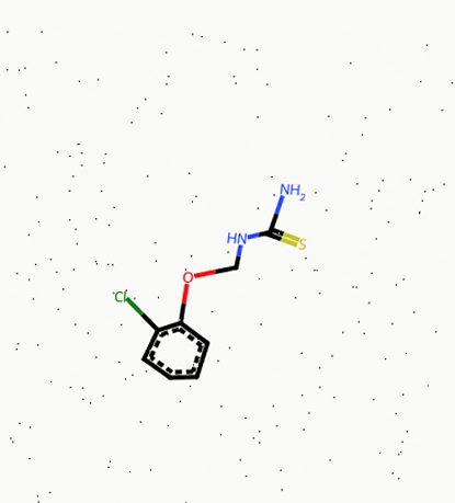 NC(=S)NCOc1ccccc1Cl